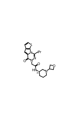 CC(C)c1nn(CC(=O)N[C@@H]2CCCN(C3COC3)C2)c(=O)c2cc3ccsc3n12